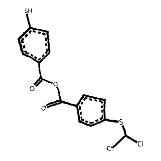 O=C(OC(=O)c1ccc(SC(Cl)Cl)cc1)c1ccc(S)cc1